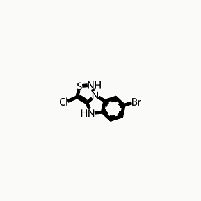 ClC1=C2Nc3ccc(Br)cc3N2NS1